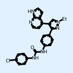 CCn1cc(-c2ccnc3[nH]ccc23)c(-c2ccc(NC(=O)Nc3ccc(Cl)cc3)cc2)n1